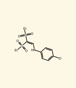 CCS(=O)(=O)C(=CNc1ccc(Cl)cc1)S(=O)(=O)CC